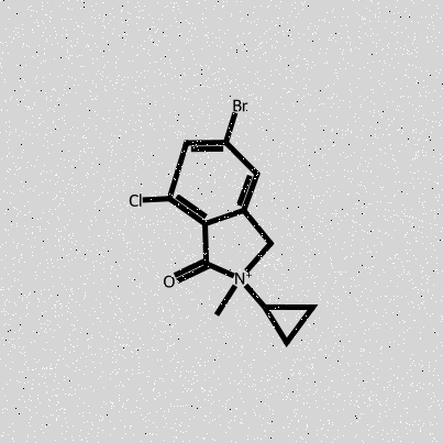 C[N+]1(C2CC2)Cc2cc(Br)cc(Cl)c2C1=O